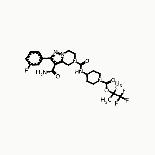 CC(C)(OC(=O)N1CCC(NC(=O)N2CCn3nc(-c4cccc(F)c4)c(C(N)=O)c3C2)CC1)C(F)(F)F